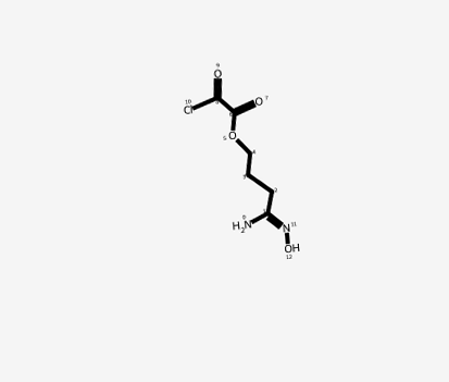 N/C(CCCOC(=O)C(=O)Cl)=N\O